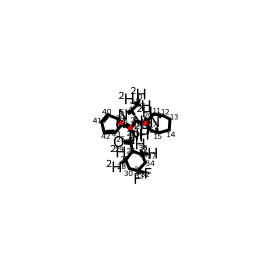 [2H]C([2H])([2H])c1nnc(C(C)C)n1C1CC2CCC(C1)N2C([2H])([2H])CC(NC(=O)C1C([2H])([2H])CC(F)(F)CC1([2H])[2H])c1ccccc1